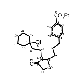 CCOC(=O)c1ccc(CCCC2SCC(=O)N2CCC2(O)CCCCC2)cc1